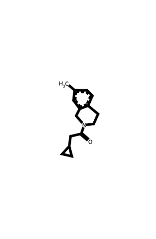 Cc1ccc2c(c1)CN(C(=O)CC1CC1)CC2